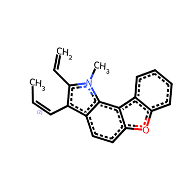 C=Cc1c(/C=C\C)c2ccc3oc4ccccc4c3c2n1C